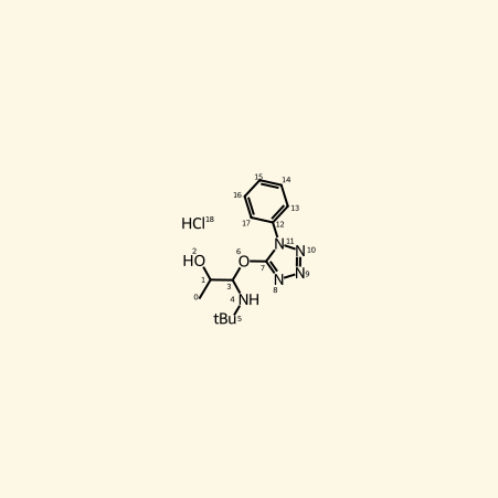 CC(O)C(NC(C)(C)C)Oc1nnnn1-c1ccccc1.Cl